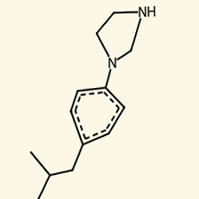 CC(C)Cc1ccc(N2CCNC2)cc1